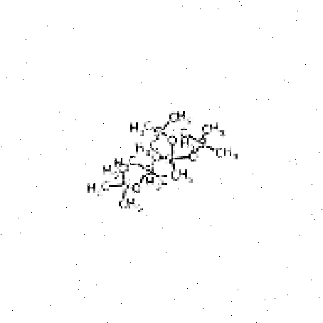 [CH2][Si](O[Si](C)(C)C)(O[Si](C)(C)C)O[Si](C)(C)O[Si](C)(C)C